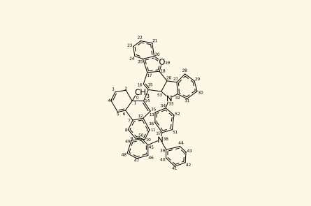 CC12CC=CC=C1c1ccccc1C=C2C1=Cc2c(oc3ccccc23)C2c3ccccc3N(c3ccc(N(c4ccccc4)c4ccccc4)cc3)C12